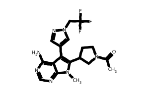 CC(=O)N1CCC(c2c(-c3cnn(CC(F)(F)F)c3)c3c(N)ncnc3n2C)C1